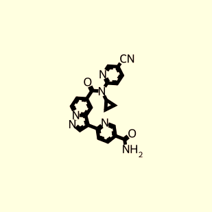 N#Cc1ccc(N(C(=O)c2ccn3ncc(-c4ccc(C(N)=O)cn4)c3c2)C2CC2)nc1